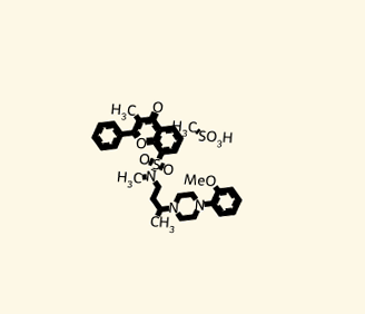 COc1ccccc1N1CCN(C(C)CCN(C)S(=O)(=O)c2cccc3c(=O)c(C)c(-c4ccccc4)oc23)CC1.CS(=O)(=O)O